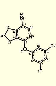 Fc1cc(F)cc(Oc2ncc(Br)c3c2CCC3)c1